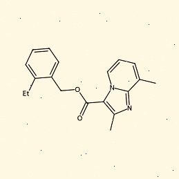 CCc1ccccc1COC(=O)c1c(C)nc2c(C)cccn12